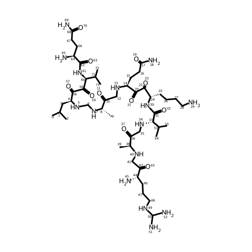 CC(C)C[C@H](NCN[C@@H](C)C(=O)CN[C@@H](CCC(N)=O)C(=O)C(=O)[C@H](CCCCN)NC(=O)[C@@H](NCC(=O)[C@H](C)NCC(=O)[C@@H](N)CCCNC(N)N)C(C)C)C(=O)C(=O)[C@@H](NC(=O)[C@@H](N)CCC(N)=O)C(C)C